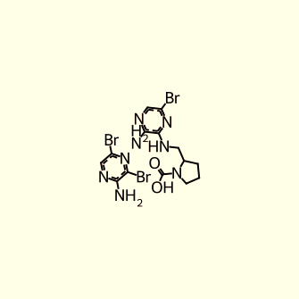 Nc1ncc(Br)nc1Br.Nc1ncc(Br)nc1NCC1CCCN1C(=O)O